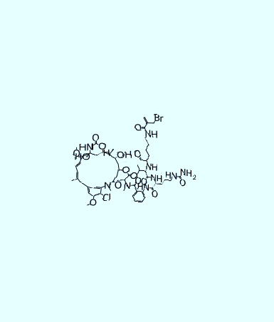 C=C(CBr)C(=O)NCCCCC(C=O)N[C@H](C(=O)N[C@@H](CCCNC(N)=O)C(=O)Nc1ccccc1C(=O)N(C)[C@@H](C)C(=O)O[C@H]1CC(=O)N(C)c2cc(cc(OC)c2Cl)C/C(C)=C/C=C/[C@@H](OC)[C@@]2(O)C[C@H](OC(=O)N2)[C@@H](C)[C@H](O)[C@@H]1C)C(C)C